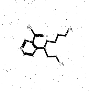 CCCCCC(CCC)c1ccncc1C(=O)O